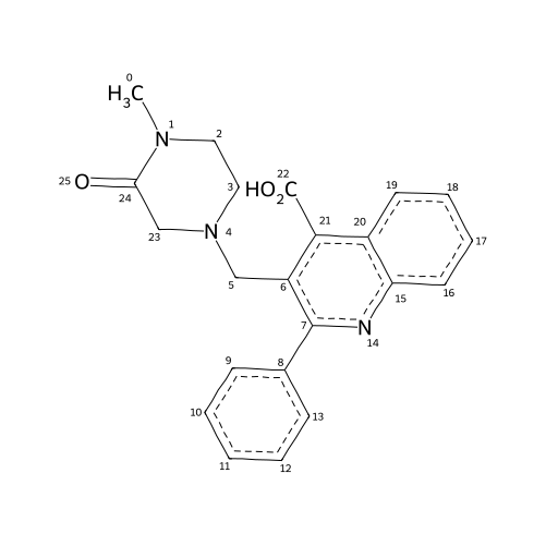 CN1CCN(Cc2c(-c3ccccc3)nc3ccccc3c2C(=O)O)CC1=O